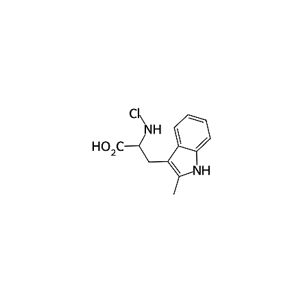 Cc1[nH]c2ccccc2c1CC(NCl)C(=O)O